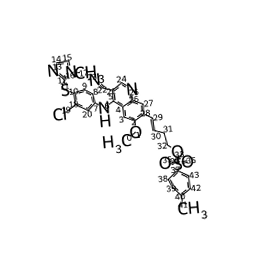 COc1cc2c(Nc3ccc(Sc4nccn4C)c(Cl)c3)c(C#N)cnc2cc1/C=C/CCOS(=O)(=O)c1ccc(C)cc1